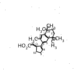 Cc1cc2c(cc1C1=CCCC1=CC(=O)O)C(C)(C)CCC2(C)C